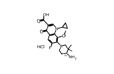 COc1c(N2CC[C@H](N)C(C)(C)C2)c(F)cc2c(=O)c(C(=O)O)cn(C3CC3)c12.Cl